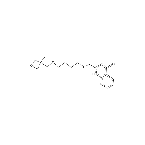 Cc1c(COCCCCOCC2(C)COC2)[nH]c2ccccc2c1=O